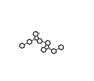 c1ccc(-c2ccc(-n3c4ccc(-c5cccc6c5c5ccccc5n6-c5cccc(-c6ccccc6)c5)cc4c4ncccc43)cc2)cc1